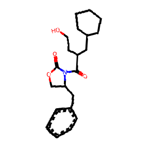 O=C1OCC(Cc2ccccc2)N1C(=O)C(CCO)CC1CCCCC1